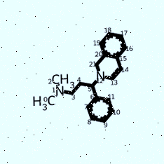 CN(C)CCC(c1ccccc1)N1C=Cc2ccccc2C1